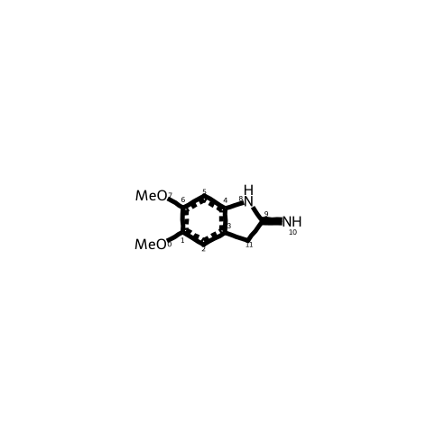 COc1cc2c(cc1OC)NC(=N)C2